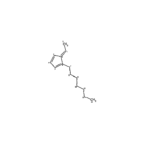 CC=C1C=CC=C1CCCCCCC